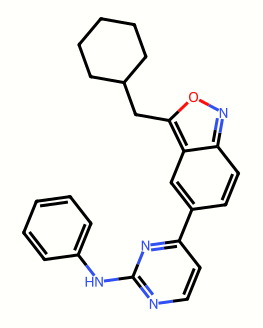 c1ccc(Nc2nccc(-c3ccc4noc(CC5CCCCC5)c4c3)n2)cc1